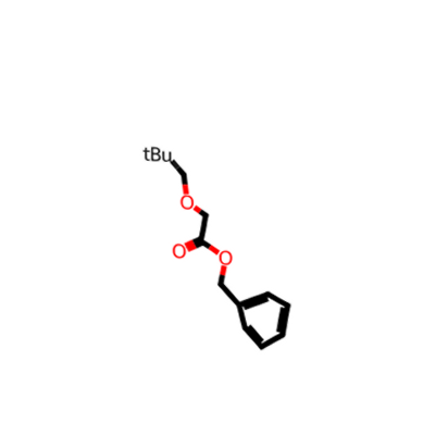 CC(C)(C)COCC(=O)OCc1ccccc1